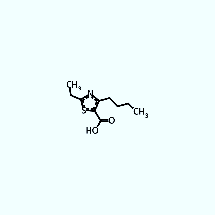 CCCCc1nc(CC)sc1C(=O)O